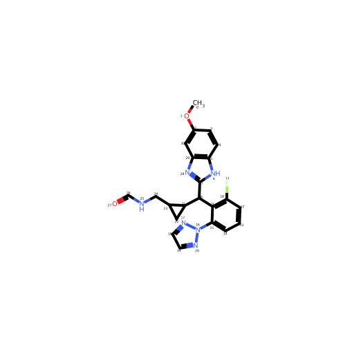 COc1ccc2[nH]c(C(c3c(F)cccc3-n3nccn3)C3CC3CNC=O)nc2c1